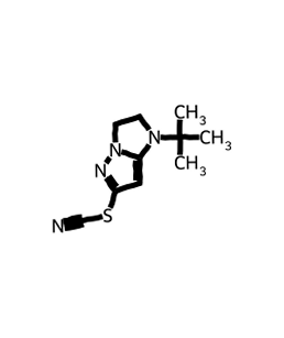 CC(C)(C)N1CCn2nc(SC#N)cc21